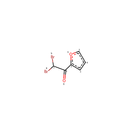 O=C(c1ccco1)C(Br)Br